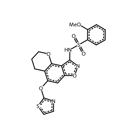 COc1ccccc1S(=O)(=O)Nc1noc2cc(Oc3nccs3)c3c(c12)OCCC3